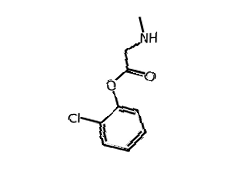 CNCC(=O)Oc1ccccc1Cl